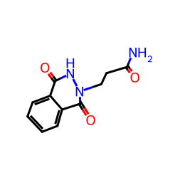 NC(=O)CCn1[nH]c(=O)c2ccccc2c1=O